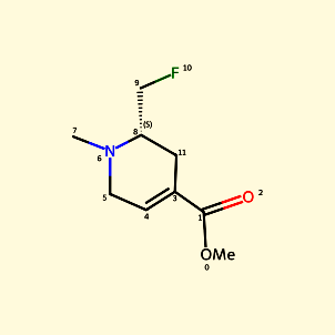 COC(=O)C1=CCN(C)[C@H](CF)C1